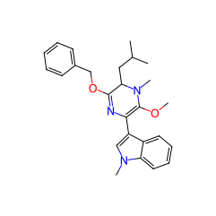 COC1=C(c2cn(C)c3ccccc23)N=C(OCc2ccccc2)C(CC(C)C)N1C